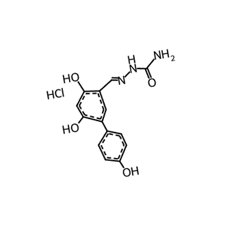 Cl.NC(=O)NN=Cc1cc(-c2ccc(O)cc2)c(O)cc1O